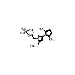 CCOC(=O)c1cc(-n2c(C)ccc2C)nn1CCO[Si](C)(C)C(C)(C)C